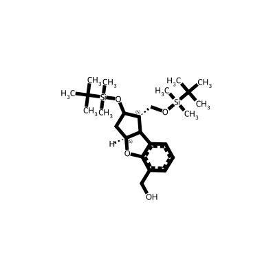 CC(C)(C)[Si](C)(C)OC[C@H]1C(O[Si](C)(C)C(C)(C)C)C[C@@H]2Oc3c(CO)cccc3C12